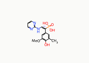 COc1cc(/C(=C\Nc2ncccn2)P(=O)(O)O)cc(C)c1O